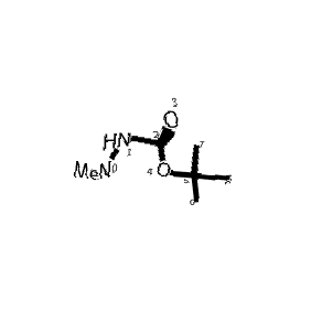 CNNC(=O)OC(C)(C)C